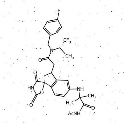 CC(=O)NC(=O)C(C)(C)Nc1ccc2c(c1)C(CC(=O)N(Cc1ccc(F)cc1)[C@@H](C)C(F)(F)F)C[C@@]21OC(=O)NC1=O